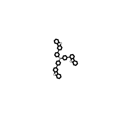 c1cc(-c2ccc3oc4ccccc4c3c2)cc(N(c2ccc(-c3ccc4oc5ccccc5c4c3)cc2)c2ccc(-c3cccc4c3oc3ccccc34)cc2)c1